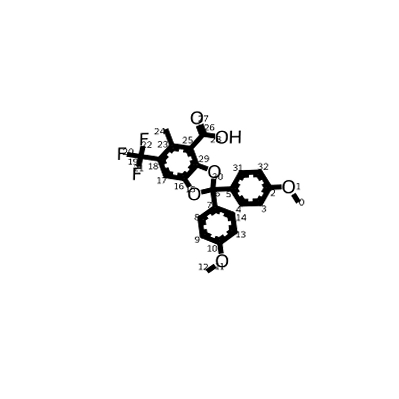 COc1ccc(C2(c3ccc(OC)cc3)Oc3cc(C(F)(F)F)c(C)c(C(=O)O)c3O2)cc1